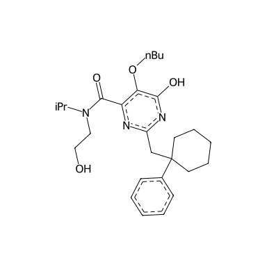 CCCCOc1c(O)nc(CC2(c3ccccc3)CCCCC2)nc1C(=O)N(CCO)C(C)C